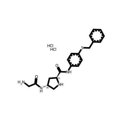 Cl.Cl.NCC(=O)N[C@H]1CN[C@H](C(=O)Nc2ccc(SCc3ccccc3)cc2)C1